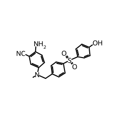 CN(Cc1ccc(S(=O)(=O)c2ccc(O)cc2)cc1)c1ccc(N)c(C#N)c1